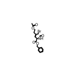 CC(=O)OCCC(=CC(NC=O)C(=O)OCc1ccccc1)CBr